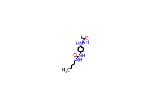 CCCCCNC(=O)Nc1ccc(NNC(=O)I)cc1